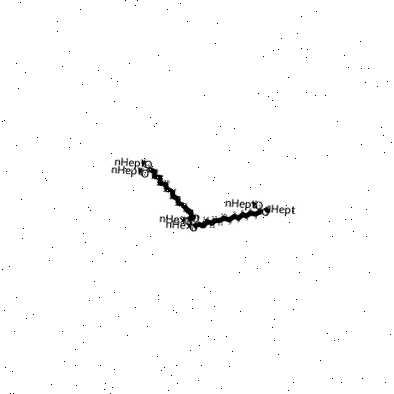 CCCCCCCOC(CCCCCCCCCCCC=CC(OCCCCCC)OC(C=CCCCCCCCCCCCC(OCCCCCCC)OCCCCCCC)OCCCCCC)OCCCCCCC